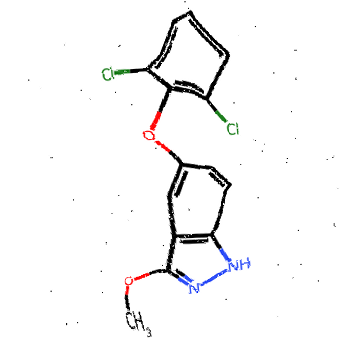 COc1n[nH]c2ccc(Oc3c(Cl)cccc3Cl)cc12